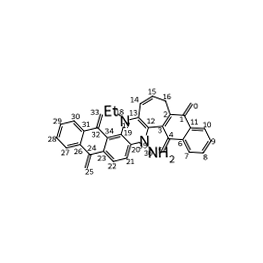 C=c1c2c(c(=C)c3ccccc13)C1=C(C=CC2)N(CC)c2c(ccc3c(=C)c4ccccc4c(=C)c23)N1N